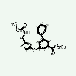 CCCCOC(=O)c1cc(Sc2csc(CNC(=O)OC(C)(C)C)n2)cc(-c2ccccc2)c1